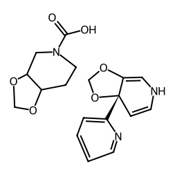 C1=C[C@]2(c3ccccn3)OCOC2=CN1.O=C(O)N1CCC2OCOC2C1